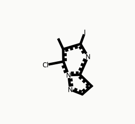 Cc1c(I)nc2ccnn2c1Cl